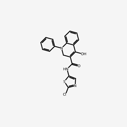 O=C(Nc1cnc(Cl)s1)C1=C(O)c2ccccc2N(c2ccccc2)C1